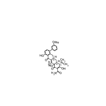 COc1cccc(-c2ccc(O)c3c2C[C@H]2C[C@H]4[C@H](N(C)C)C(O)=C(C(N)=O)C(=O)[C@@]4(O)C(O)=C2C3=O)c1